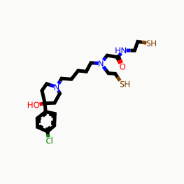 O=C(CN(CCS)CCCCCN1CCC(O)(c2ccc(Cl)cc2)CC1)NCCS